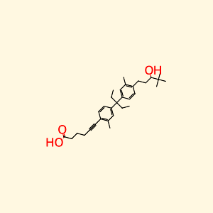 CCC(CC)(c1ccc(C#CCCCC(=O)O)c(C)c1)c1ccc(CCC(O)C(C)(C)C)c(C)c1